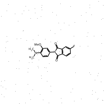 COc1cc(N2C(=O)c3ccc(F)cc3C2=O)ccc1N(C)C